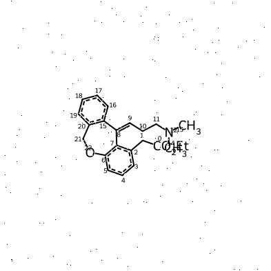 CCOC(=O)Cc1cccc2c1/C(=C\CCN(C)C)c1ccccc1CO2